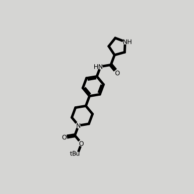 CC(C)(C)OC(=O)N1CCC(c2ccc(NC(=O)C3CCNC3)cc2)CC1